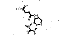 C1CCOOC1.CN(C)C(=O)N(C)C.O=C(O)CCC(=O)O